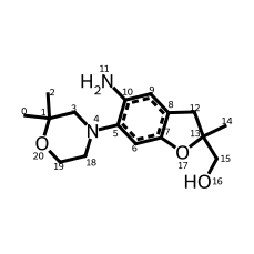 CC1(C)CN(c2cc3c(cc2N)CC(C)(CO)O3)CCO1